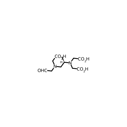 C[C@H](CN(CC=O)CC(=O)O)N(CC(=O)O)CC(=O)O